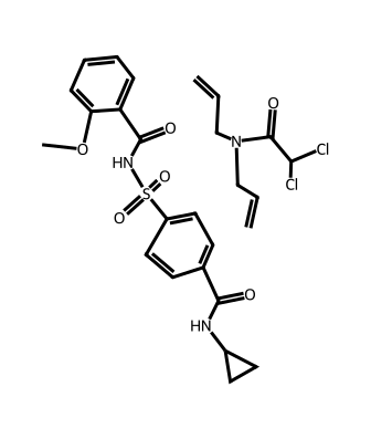 C=CCN(CC=C)C(=O)C(Cl)Cl.COc1ccccc1C(=O)NS(=O)(=O)c1ccc(C(=O)NC2CC2)cc1